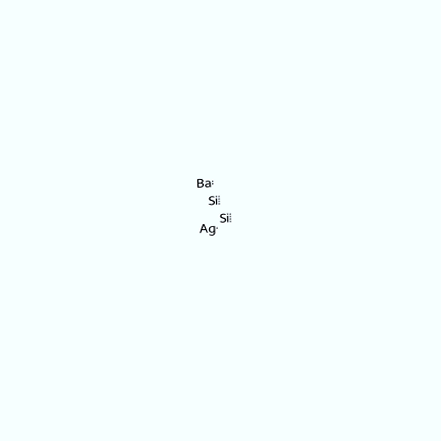 [Ag].[Ba].[Si].[Si]